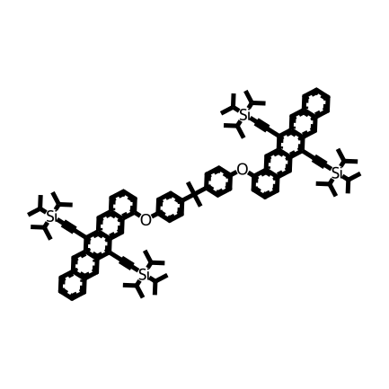 CC(C)[Si](C#Cc1c2cc3ccccc3cc2c(C#C[Si](C(C)C)(C(C)C)C(C)C)c2cc3c(Oc4ccc(C(C)(C)c5ccc(Oc6cccc7cc8c(C#C[Si](C(C)C)(C(C)C)C(C)C)c9cc%10ccccc%10cc9c(C#C[Si](C(C)C)(C(C)C)C(C)C)c8cc67)cc5)cc4)cccc3cc12)(C(C)C)C(C)C